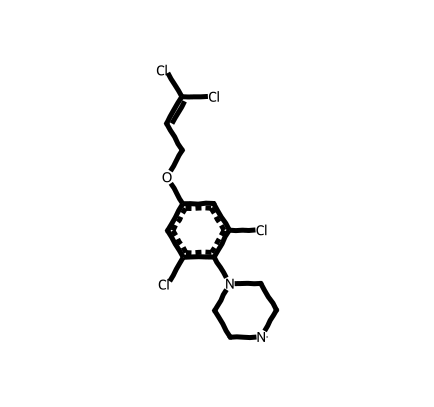 ClC(Cl)=CCOc1cc(Cl)c(N2CC[N]CC2)c(Cl)c1